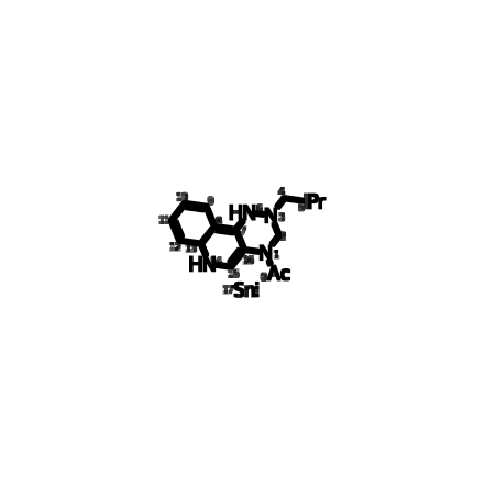 CC(=O)N1CN(CC(C)C)NC2=C3C=CC=CC3NC=C21.[Sn]